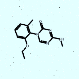 CCOc1cccc(C)c1-n1cnc(NC)nc1=O